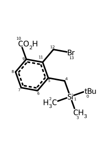 CC(C)(C)[Si](C)(C)Cc1cccc(C(=O)O)c1CBr